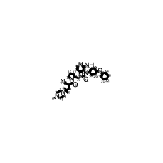 CN1CCN(C(C)(C)C=C(C#N)C(=O)N2CCCC2Cn2c(=O)n(-c3ccc(Oc4ccccc4)cc3)c3c(N)nccc32)CC1